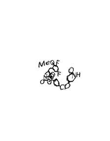 COc1c(F)cc(F)cc1CC1CN2C(=O)CC2(S(=O)(=O)c2ccc(Cl)cc2)C1=O.O=C1CCNC(=O)CC1